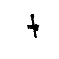 CCCCCCCCC(C(O)CCCCCCCC=O)[N+](=O)[O-]